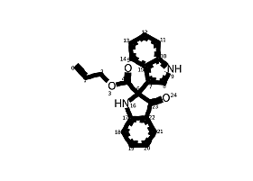 C=CCOC(=O)C1(c2c[nH]c3ccccc23)Nc2ccccc2C1=O